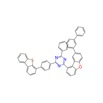 c1ccc(-c2cccc(-c3ccc4oc5cccc(-c6nc(-c7ccccc7)nc(-c7ccc(-c8cccc9c8sc8ccccc89)cc7)n6)c5c4c3)c2)cc1